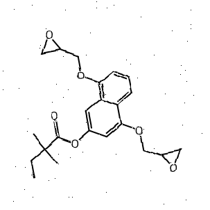 CCC(C)(C)C(=O)Oc1cc(OCC2CO2)c2cccc(OCC3CO3)c2c1